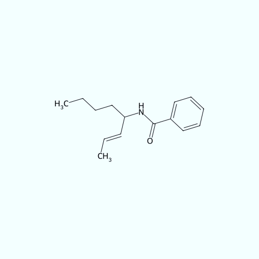 CC=CC(CCCC)NC(=O)c1ccccc1